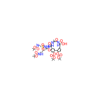 C[C@@H]1NC(=O)[C@@H](N(C)C(=O)[C@H](CCCCNC(=O)OC(C)(C)C)NS(=O)(=O)CCN(C)C(=O)OC(C)(C)C)c2ccc(OC(=O)OC(C)(C)C)c(c2)-c2cc(ccc2OC(=O)OC(C)(C)C)C[C@@H](C(=O)O)NC1=O